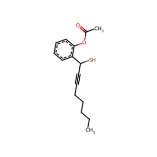 CCCCCC#CC(S)c1ccccc1OC(C)=O